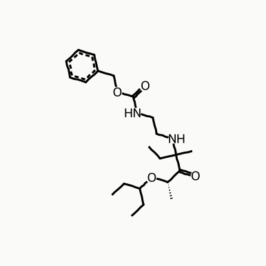 CCC(CC)O[C@@H](C)C(=O)C(C)(CC)NCCNC(=O)OCc1ccccc1